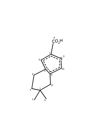 CC1(C)CCc2cc(C(=O)O)ncc2C1